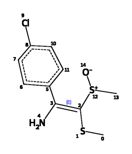 CS/C(=C(\N)c1ccc(Cl)cc1)[S+](C)[O-]